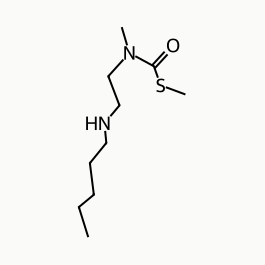 CCCCCNCCN(C)C(=O)SC